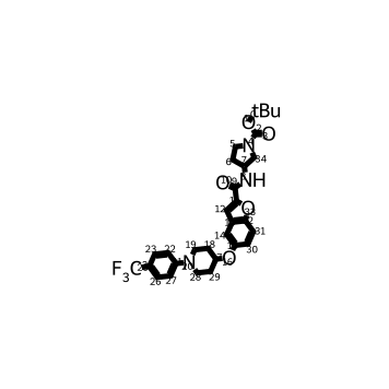 CC(C)(C)OC(=O)N1CCC(NC(=O)c2cc3cc(OC4CCN(c5ccc(C(F)(F)F)cc5)CC4)ccc3o2)C1